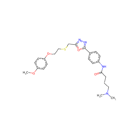 COc1ccc(OCCSCc2nnc(-c3ccc(NC(=O)CCCN(C)C)cc3)o2)cc1